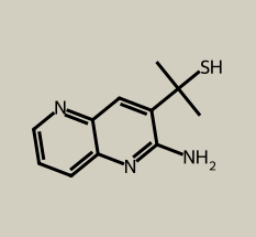 CC(C)(S)c1cc2ncccc2nc1N